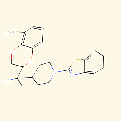 COc1cccc2c1OCC(C(C)(N)C1CCN(c3nc4ccccc4s3)CC1)O2